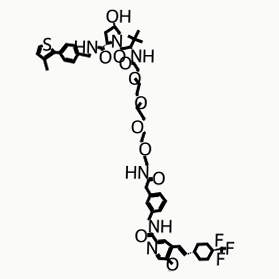 COc1cnc(C(=O)NCc2cccc(CC(=O)NCCOCCOCCOCCOCC(=O)N[C@H](C(=O)N3C[C@H](O)C[C@H]3C(=O)NCc3ccc(-c4sccc4C)cc3)C(C)(C)C)c2)cc1/C=C/[C@H]1CC[C@H](C(F)(F)F)CC1